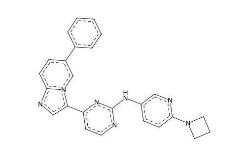 c1ccc(-c2ccc3ncc(-c4ccnc(Nc5ccc(N6CCC6)nc5)n4)n3c2)cc1